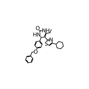 CCC1=C(c2nc(C3CCCCC3)cs2)C(c2ccc(OCc3ccccc3)cc2)NC(=O)N1